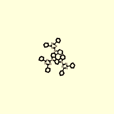 C1=CCC2C(=C1)N(c1nc(-c3ccccc3)nc(-c3ccccc3)n1)c1ccc3c(c12)c1c2c4ccccc4n(-c4nc(-c5ccccc5)nc(-c5ccccc5)n4)c2ccc1n3-c1nc(-c2ccccc2)nc(-c2ccccc2)n1